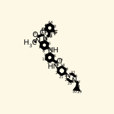 CC1C(=O)N(C)c2ccc(Nc3cccc(C(=O)N[C@H]4CC[C@H](N5CCN(CC6CC6)CC5)CC4)c3)cc2N1Cc1c(F)cccc1F